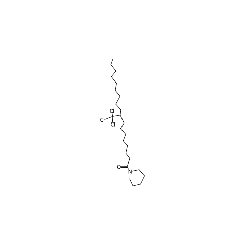 CCCCCCCCCC(CCCCCCCC(=O)N1CCCCC1)C(Cl)(Cl)Cl